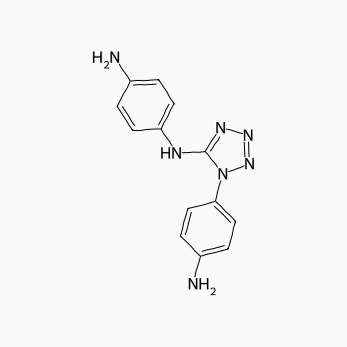 Nc1ccc(Nc2nnnn2-c2ccc(N)cc2)cc1